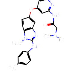 CCN(CC)CC(=O)Nc1cc(Oc2ccc3c(c2)nc(Nc2ccc(C(F)(F)F)cc2)n3C)ccn1